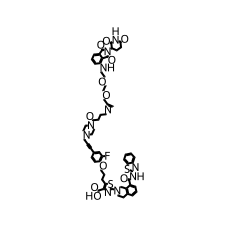 O=C1CCC(N2C(=O)c3cccc(NCCOCCOCC4=CN4CCCC(=O)N4CCN(CC#Cc5ccc(OCCCc6sc(N7CCc8cccc(C(=O)Nc9nc%10ccccc%10s9)c8C7)nc6C(=O)O)c(F)c5)CC4)c3C2=O)C(=O)N1